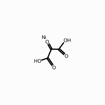 O=C(O)C(=O)C(=O)O.[Ni]